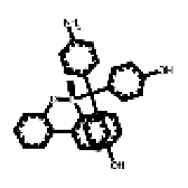 C=P1(C(c2ccc(N)cc2)(c2ccc(O)cc2)c2ccc(O)cc2)Oc2ccccc2-c2ccccc21